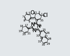 ClC1=CC2Oc3ccccc3C2C(c2nc(C3=CCCC=C3)nc(-c3ccc4ccccc4c3)n2)=C1